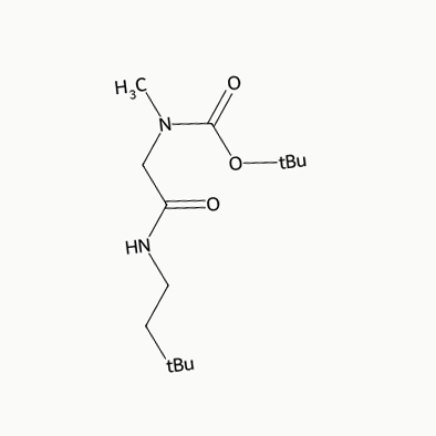 CN(CC(=O)NCCC(C)(C)C)C(=O)OC(C)(C)C